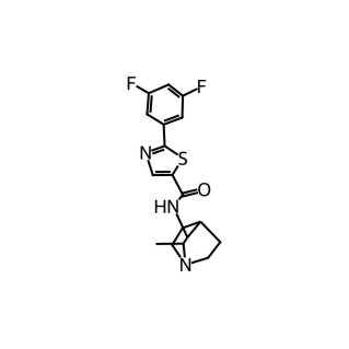 CC1C(NC(=O)c2cnc(-c3cc(F)cc(F)c3)s2)C2CCN1CC2